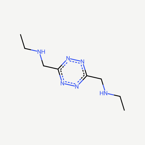 CCNCc1nnc(CNCC)nn1